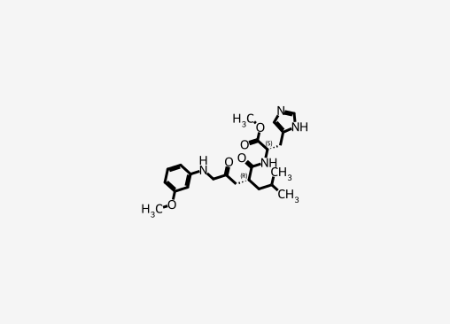 COC(=O)[C@H](Cc1cnc[nH]1)NC(=O)[C@@H](CC(=O)CNc1cccc(OC)c1)CC(C)C